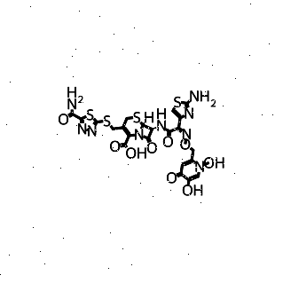 NC(=O)c1nnc(SCC2=C(C(=O)O)N3C(=O)[C@@H](NC(=O)/C(=N\OCc4cc(=O)c(O)cn4O)c4csc(N)n4)[C@H]3SC2)s1